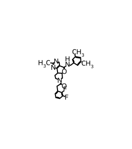 Cc1cc(C)cc(CNC(=O)c2cnc(C)nc2C2CCN(C(=O)Cc3cccc(F)c3F)CC2)c1